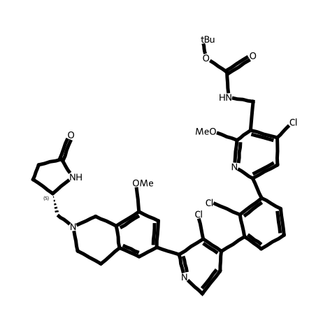 COc1cc(-c2nccc(-c3cccc(-c4cc(Cl)c(CNC(=O)OC(C)(C)C)c(OC)n4)c3Cl)c2Cl)cc2c1CN(C[C@@H]1CCC(=O)N1)CC2